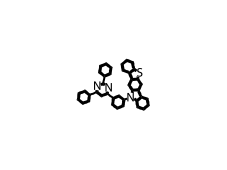 c1ccc(-c2cc(-c3cccc(-n4c5ccccc5c5cc6sc7ccccc7c6cc54)c3)nc(-c3ccccc3)n2)cc1